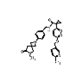 CN1CC2(CC1=O)CN(c1ccc(CNC(=O)C3(c4ccc(OCc5ccc(C(F)(F)F)nc5)nn4)CC3)cc1)C2